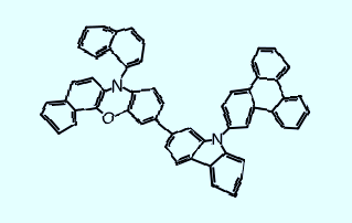 c1ccc2c(N3c4ccc(-c5ccc6c7ccccc7n(-c7ccc8c9ccccc9c9ccccc9c8c7)c6c5)cc4Oc4c3ccc3ccccc43)cccc2c1